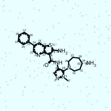 Cn1ncc(NC(=O)c2c(N)sc3cc(-c4ccccc4)cnc23)c1N1CCC[C@H](N)CC1